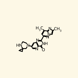 Cc1cn2nc(-c3nc4cc(N5CCNC6(CC6)C5)cnc4c(=O)[nH]3)cc(C)c2n1